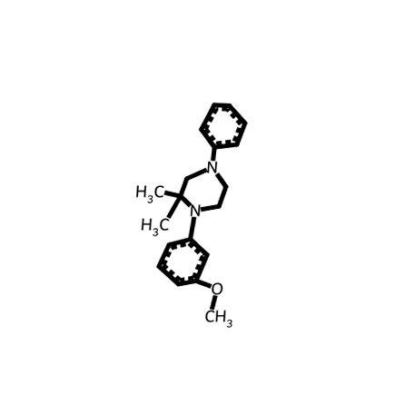 COc1cccc(N2CCN(c3ccccc3)CC2(C)C)c1